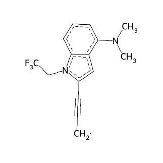 [CH2]C#Cc1cc2c(N(C)C)cccc2n1CC(F)(F)F